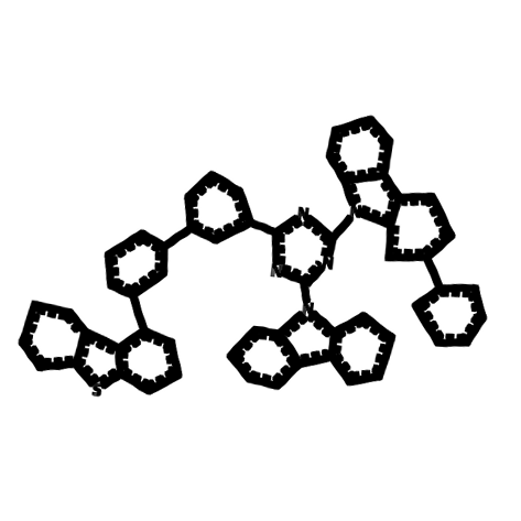 c1ccc(-c2ccc3c4ccccc4n(-c4nc(-c5cccc(-c6cccc(-c7cccc8sc9ccccc9c78)c6)c5)nc(-n5c6ccccc6c6ccccc65)n4)c3c2)cc1